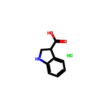 Cl.O=C(O)C1CNc2ccccc21